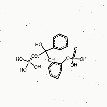 CCC(O)(O)c1ccccc1.O=P(O)(O)O.O=P(O)(O)Oc1ccccc1